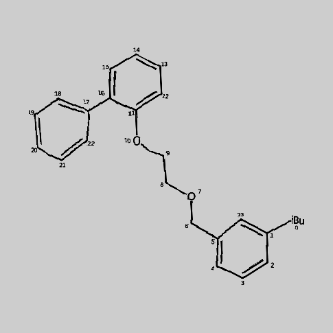 CCC(C)c1cccc(COCCOc2ccccc2-c2ccccc2)c1